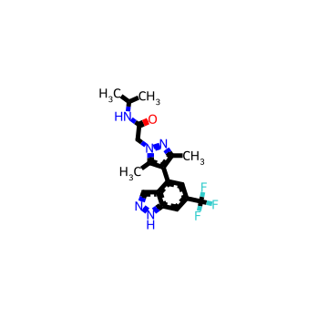 Cc1nn(CC(=O)NC(C)C)c(C)c1-c1cc(C(F)(F)F)cc2[nH]ncc12